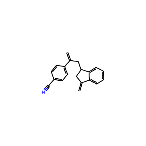 C=C(CC1CC(=C)c2ccccc21)c1ccc(C#N)cc1